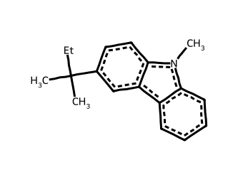 CCC(C)(C)c1ccc2c(c1)c1ccccc1n2C